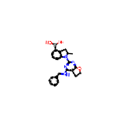 CC1Cc2c(B(O)O)cccc2N1c1nc(NCc2ccccc2)c2c(n1)OCC2